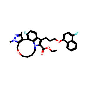 CCOC(=O)c1c(CCCOc2ccc(F)c3ccccc23)c2ccc(F)c3c2n1CCCCOCc1c-3c(C)nn1C